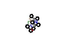 Fc1c2c3c4c5c1N(c1ccccc1-c1ccccc1)c1ccccc1B5c1ccccc1N4c1ccccc1B3c1ccccc1S2